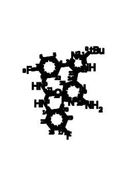 CC(C)(C)c1nc(-c2ccc(F)c(NC(=O)Nc3ccc(F)cc3F)c2)c(-c2ccnc(N)n2)[nH]1